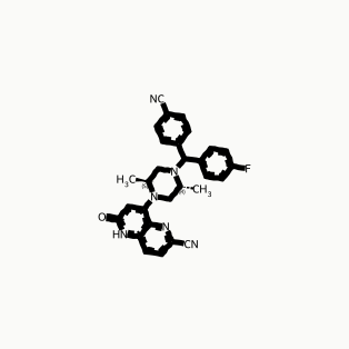 C[C@@H]1CN(c2cc(=O)[nH]c3ccc(C#N)nc23)[C@@H](C)CN1C(c1ccc(F)cc1)c1ccc(C#N)cc1